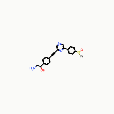 CC(C)[S+]([O-])c1ccc(-c2cncc(C#Cc3ccc(C(O)CN)cc3)n2)cc1